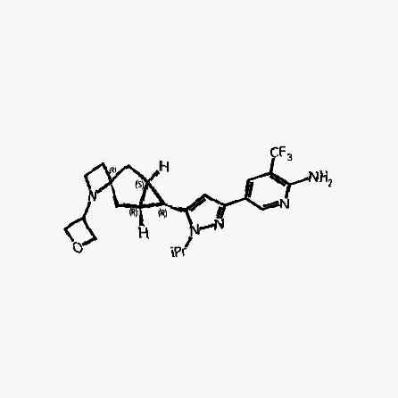 CC(C)n1nc(-c2cnc(N)c(C(F)(F)F)c2)cc1[C@H]1[C@@H]2C[C@@]3(CCN3C3COC3)C[C@@H]21